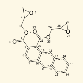 O=C(OCC1CO1)c1ccc2cc3ccccc3cc2c1C(=O)OCC1CO1